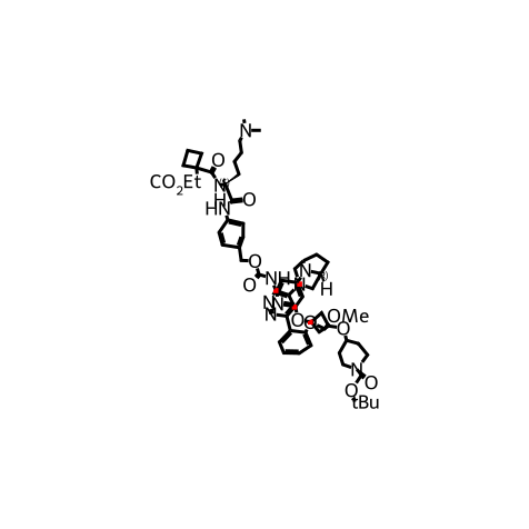 CCOC(=O)C1(C(=O)N[C@@H](CCCCN(C)C)C(=O)Nc2ccc(COC(=O)Nc3nnc(-c4ccccc4OCOC)cc3N3CC4CC[C@H](C3)N4c3ccnc(OC4CC(OC5CCN(C(=O)OC(C)(C)C)CC5)C4)c3)cc2)CCC1